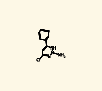 NN1N=C(Cl)C=C(c2ccccc2)N1